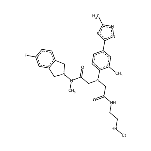 CCNCCNC(=O)CN(CC(=O)N(C)N1Cc2ccc(F)cc2C1)c1ccc(-c2nnc(C)s2)cc1C